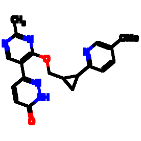 COc1ccc(C2CC2COc2nc(C)ncc2-c2ccc(=O)[nH]n2)nc1